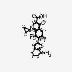 NC1CCCc2cc(-c3c(F)cc4c(=O)c(C(=O)O)cn(C5CC5)c4c3F)sc21